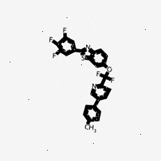 Cc1ccc(-c2ccc(C(F)(F)Oc3ccc4nc(-c5cc(F)c(F)c(F)c5)sc4c3)nc2)cc1